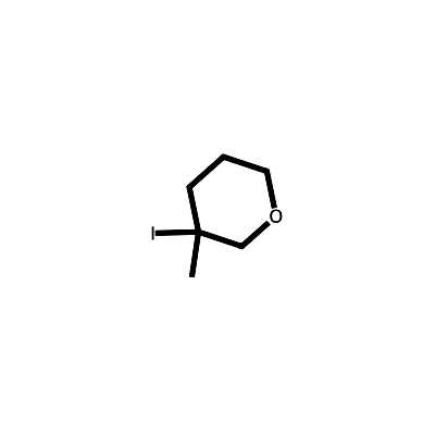 CC1(I)CCCOC1